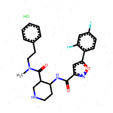 CN(CCc1ccccc1)C(=O)C1CNCCC1NC(=O)c1cc(-c2ccc(F)cc2F)on1.Cl